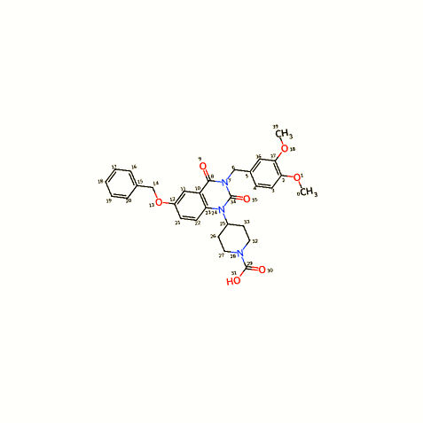 COc1ccc(Cn2c(=O)c3cc(OCc4ccccc4)ccc3n(C3CCN(C(=O)O)CC3)c2=O)cc1OC